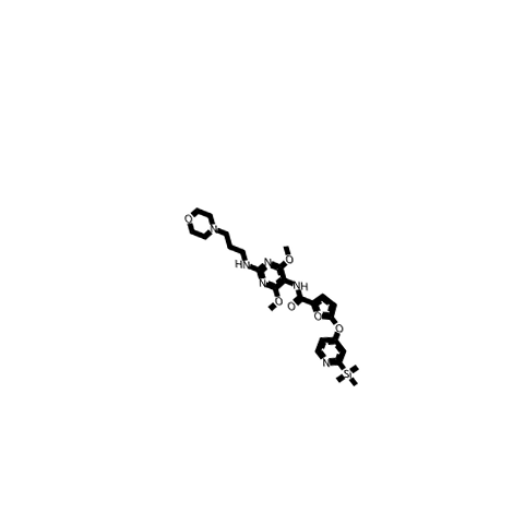 COc1nc(NCCCN2CCOCC2)nc(OC)c1NC(=O)c1ccc(Oc2ccnc([Si](C)(C)C)c2)o1